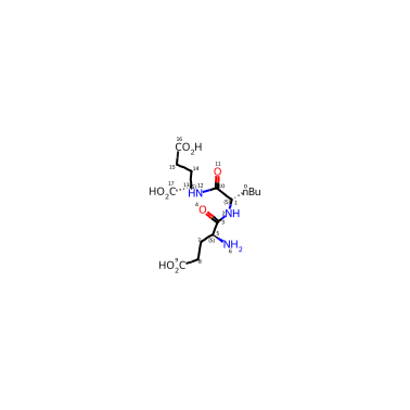 CCCC[C@H](NC(=O)[C@@H](N)CCC(=O)O)C(=O)N[C@@H](CCC(=O)O)C(=O)O